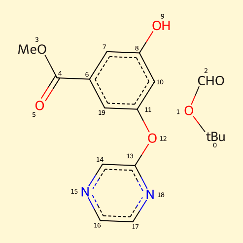 CC(C)(C)OC=O.COC(=O)c1cc(O)cc(Oc2cnccn2)c1